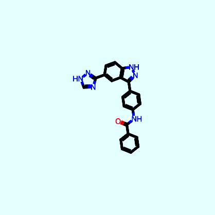 O=C(Nc1ccc(-c2n[nH]c3ccc(-c4nc[nH]n4)cc23)cc1)c1ccccc1